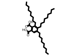 CCCCCCCCCc1cc(C(=O)O)c(C(=O)O)c(CCCCCCCCC)c1CCCCCCCCC